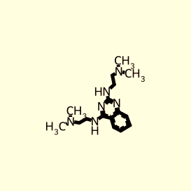 CN(C)CCNc1nc(NCCN(C)C)c2ccccc2n1